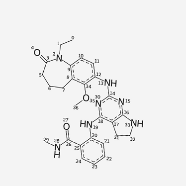 CCN1C(=O)CCCc2c1ccc(Nc1nc3c(c(Nc4ccccc4C(=O)NC)n1)CCN3)c2OC